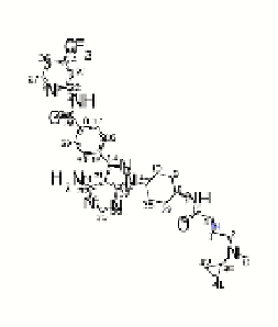 CN(C/C=C/C(=O)NC1CCC(n2nc(-c3ccc(C(=O)Nc4cc(C(F)(F)F)ccn4)cc3)c3c(N)ncnc32)CC1)C1CC1